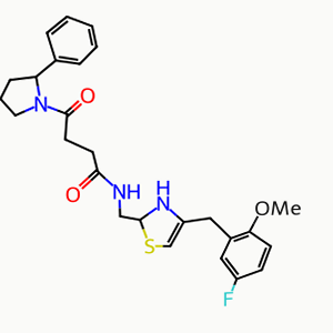 COc1ccc(F)cc1CC1=CSC(CNC(=O)CCC(=O)N2CCCC2c2ccccc2)N1